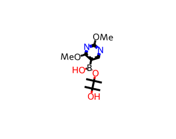 COc1ncc(B(O)OC(C)(C)C(C)(C)O)c(OC)n1